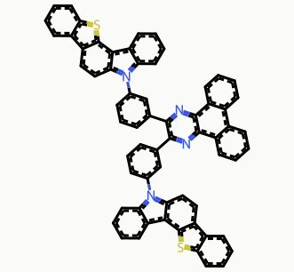 c1cc(-c2nc3c4ccccc4c4ccccc4c3nc2-c2cccc(-n3c4ccccc4c4c5sc6ccccc6c5ccc43)c2)cc(-n2c3ccccc3c3c4sc5ccccc5c4ccc32)c1